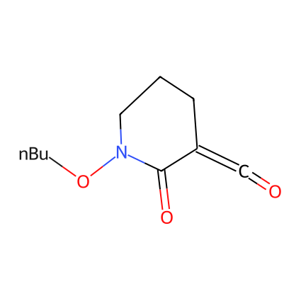 CCCCON1CCCC(=C=O)C1=O